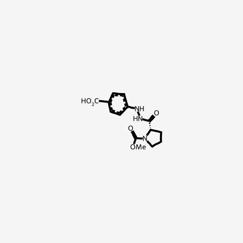 COC(=O)N1CCC[C@H]1C(=O)NNc1ccc(C(=O)O)cc1